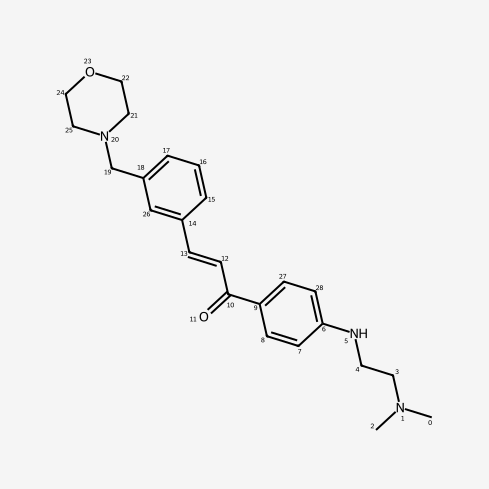 CN(C)CCNc1ccc(C(=O)C=Cc2cccc(CN3CCOCC3)c2)cc1